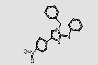 O=[N+]([O-])c1ccc(-c2cn(Cc3ccccc3)/c(=N\c3ccccc3)s2)cc1